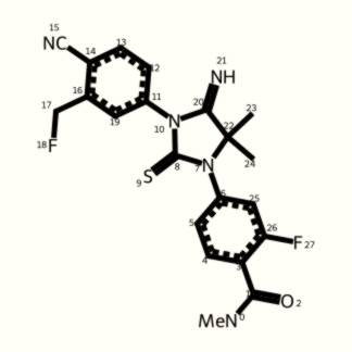 CNC(=O)c1ccc(N2C(=S)N(c3ccc(C#N)c(CF)c3)C(=N)C2(C)C)cc1F